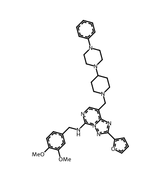 COc1ccc(CNc2ncc(CN3CCC(N4CCN(c5ccccc5)CC4)CC3)c3nc(-c4ccco4)nn23)cc1OC